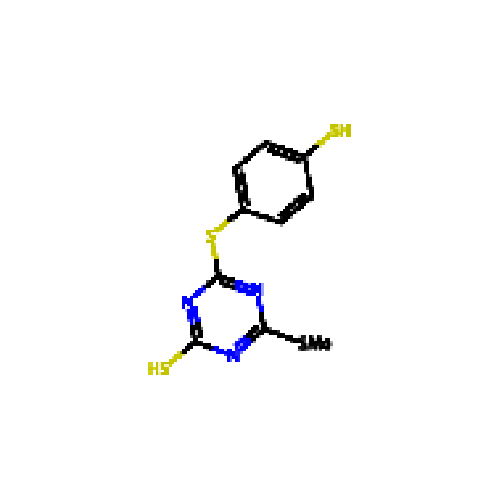 CSc1nc(S)nc(Sc2ccc(S)cc2)n1